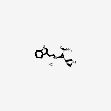 Cl.NC(=O)[C@H]1C(NCCc2c[nH]c3ccccc23)[C@@H]1c1c[nH]cn1